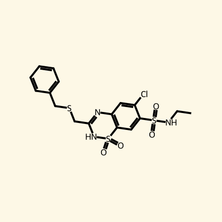 CCNS(=O)(=O)c1cc2c(cc1Cl)N=C(CSCc1ccccc1)NS2(=O)=O